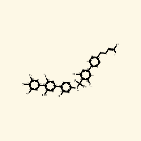 FC(F)=CCCc1ccc(-c2cc(F)c(C(F)(F)Oc3ccc(-c4cc(F)c(-c5cc(F)c(Cl)c(F)c5)c(Cl)c4)c(F)c3)c(F)c2)cc1